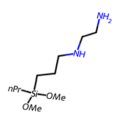 CCC[Si](CCCNCCN)(OC)OC